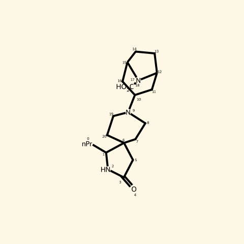 CCCC1NC(=O)CC12CCN(C1CC3CCC(C1)N3C(=O)O)CC2